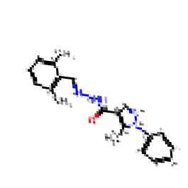 Cc1cccc(C)c1C=NNC(=O)c1cnn(-c2ccccc2)c1C